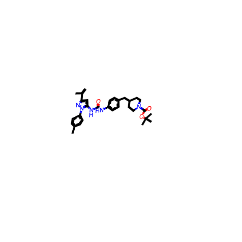 C=C(C)c1cc(NC(=O)Nc2ccc(CC3CCN(C(=O)OC(C)(C)C)CC3)cc2)n(-c2ccc(C)cc2)n1